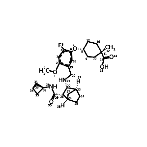 COc1cc(F)c(O[C@H]2CC[C@@](C)(C(=O)O)CC2)cc1CN[C@@H]1[C@H]2CC[C@H](C2)[C@@H]1C(=O)NC12CC(C1)C2